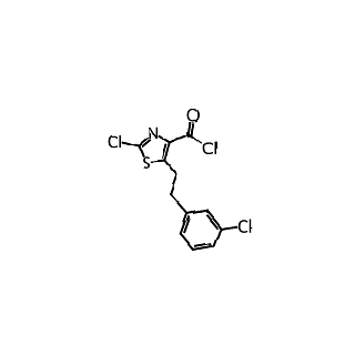 O=C(Cl)c1nc(Cl)sc1CCc1cccc(Cl)c1